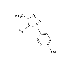 CC1C(c2ccc(O)cc2)=NOC1C(=O)O